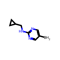 Bc1cnc(NCC2CC2)nc1